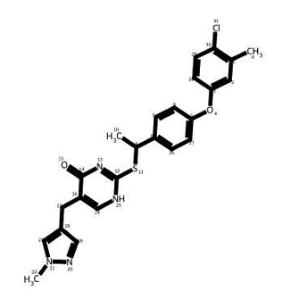 Cc1cc(Oc2ccc(C(C)Sc3nc(=O)c(Cc4cnn(C)c4)c[nH]3)cc2)ccc1Cl